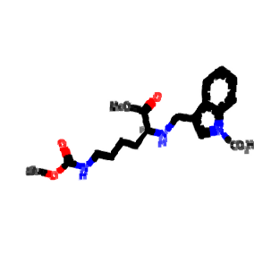 COC(=O)[C@H](CCCCNC(=O)OC(C)(C)C)NCc1cn(C(=O)O)c2ccccc12